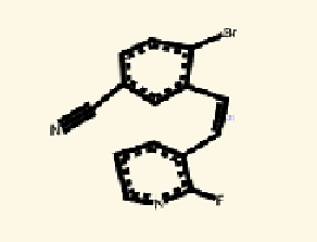 N#Cc1ccc(Br)c(/C=C\c2cccnc2F)c1